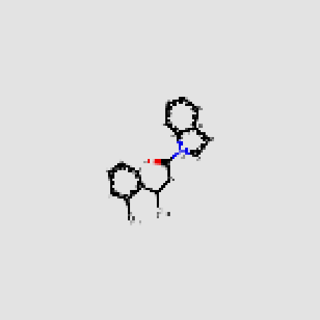 Cc1ccccc1C(C)CC(=O)n1ccc2ccccc21